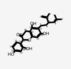 C=C(C)C(C=C(C)C)CCc1c(O)cc2c(c1O)CC(=O)C(c1ccc(O)cc1O)O2